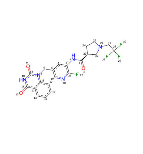 O=C(Nc1cc(Cn2c(=O)[nH]c(=O)c3ccccc32)cnc1F)[C@H]1CCN(CC(F)(F)F)C1